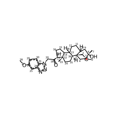 COC[C@]12CC[C@@](C)(O)C[C@H]1CC[C@H]1[C@@H]3CC[C@H](C(=O)Cn4nnc5cc(OC)ccc54)[C@@]3(C)CC[C@@H]12